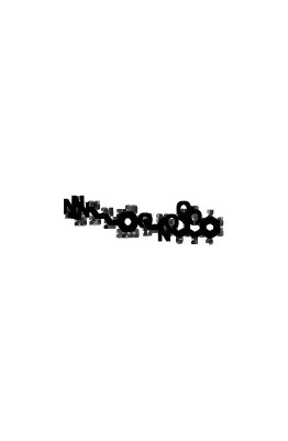 C(=C(Cc1ccccc1)C1=COCO1)c1nc(COc2ccc(CCCCn3ccnn3)cc2)co1